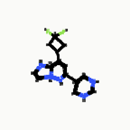 FC1(F)CC(c2cc(-c3cncnc3)nn3ccnc23)C1